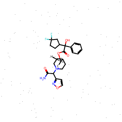 NC(=O)C(c1ccon1)[N+]12CCC(CC1)[C@@H](OC(=O)C(O)(c1ccccc1)C1CCC(F)(F)C1)C2